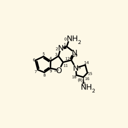 NC1=NC2c3ccccc3OC2C(N2CC[C@@H](N)C2)=N1